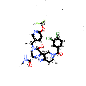 CNC(=O)[C@@H]1CN([C@H](C)c2ccc(OC(F)F)nc2)C(=O)c2c3c(nn21)C[C@@H](C)N(C(=O)c1ccc(Cl)c(Cl)c1)C3